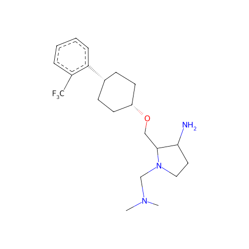 CN(C)CN1CCC(N)C1CO[C@H]1CC[C@@H](c2ccccc2C(F)(F)F)CC1